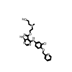 CN(CCO)CCOc1n[nH]c2ncnc(Nc3ccc(OCc4ccccn4)c(Cl)c3)c12